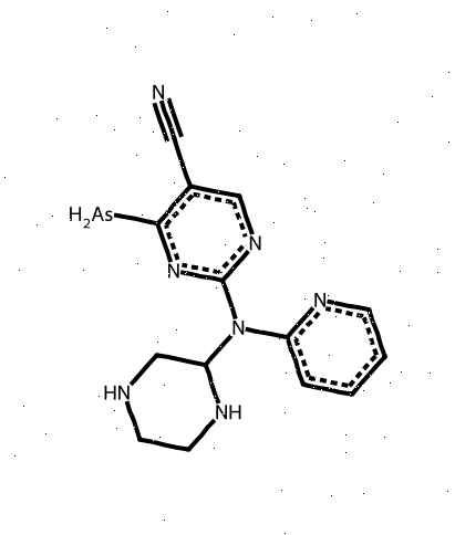 N#Cc1cnc(N(c2ccccn2)C2CNCCN2)nc1[AsH2]